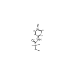 CCC(C)(C)C(=O)Nc1ccc(F)cc1